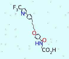 O=C(O)CCNC(=O)c1ccc(OCCCCCc2ccc(-c3ccc(C(F)(F)F)cn3)cc2)cc1